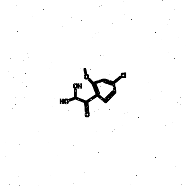 COc1cc(Cl)ccc1C(=O)C(O)O